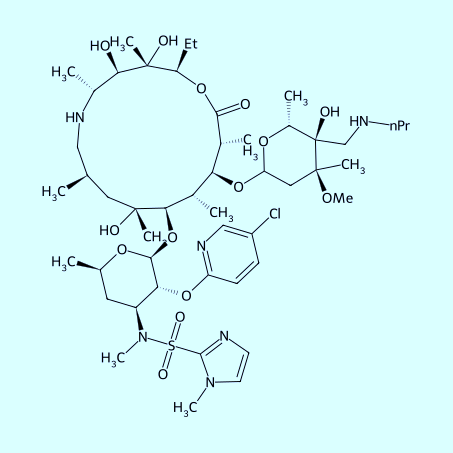 CCCNC[C@@]1(O)[C@@H](C)OC(O[C@H]2[C@H](C)[C@@H](O[C@@H]3O[C@H](C)C[C@H](N(C)S(=O)(=O)c4nccn4C)[C@H]3Oc3ccc(Cl)cn3)[C@](C)(O)C[C@@H](C)CN[C@H](C)[C@@H](O)[C@](C)(O)[C@@H](CC)OC(=O)[C@@H]2C)C[C@]1(C)OC